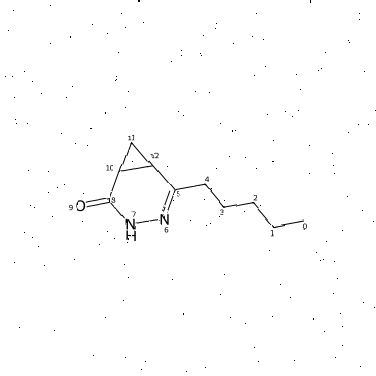 CCCCCC1=NNC(=O)C2CC12